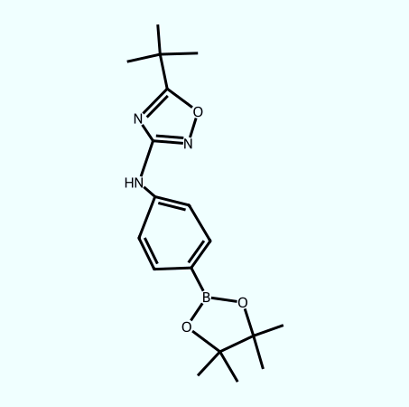 CC(C)(C)c1nc(Nc2ccc(B3OC(C)(C)C(C)(C)O3)cc2)no1